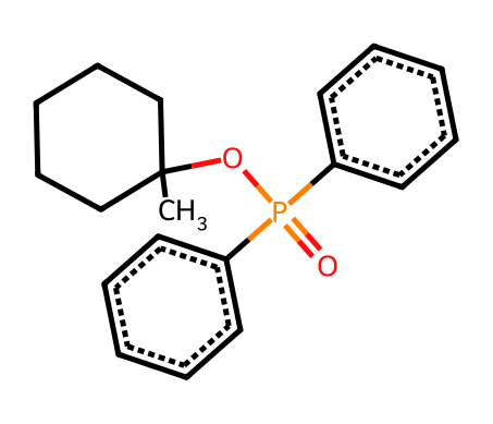 CC1(OP(=O)(c2ccccc2)c2ccccc2)CCCCC1